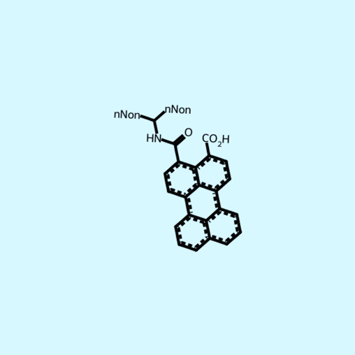 CCCCCCCCCC(CCCCCCCCC)NC(=O)c1ccc2c3cccc4cccc(c5ccc(C(=O)O)c1c52)c43